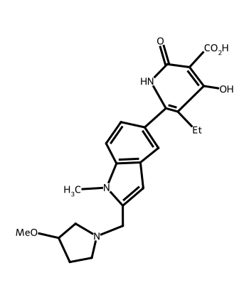 CCc1c(-c2ccc3c(c2)cc(CN2CCC(OC)C2)n3C)[nH]c(=O)c(C(=O)O)c1O